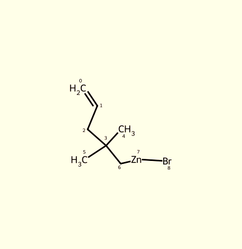 C=CCC(C)(C)[CH2][Zn][Br]